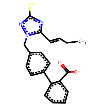 CC/C=C/c1nc(S)nn1Cc1ccc(-c2ccccc2C(=O)O)cc1